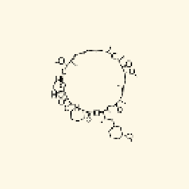 CO[C@H]1CCCC(C[C@@H](C)[C@@H]2CC(=O)[C@H](C)/C=C(\C)C[C@@H](OC)C(=O)[C@H](C)C[C@H](C)/C=C/C=C/C=C(\C)[C@@H](OC)C[C@@H]3CC[C@@H](C)[C@@](O)(O3)C(=O)C(=O)N3CCCCC3C(=O)O2)C1